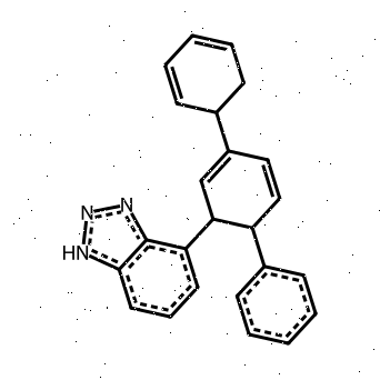 C1=CCC(C2=CC(c3cccc4[nH]nnc34)C(c3ccccc3)C=C2)C=C1